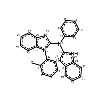 Cc1ccccc1-n1c(N(c2ccccc2)c2nc3ccccc3[nH]2)nc2ccccc21